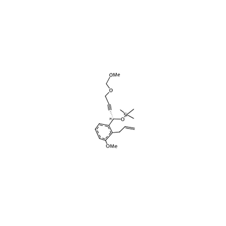 C=CCc1c(OC)cccc1[C@H](C#CCOCOC)O[Si](C)(C)C